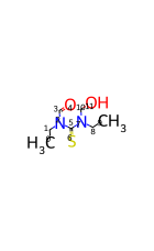 CCN(C=O)C(=S)N(CC)CO